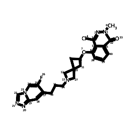 Cn1nc(Cl)c2c(OC3CC4(C3)CN(CCCc3cc5nncn5cc3F)C4)cccc2c1=O